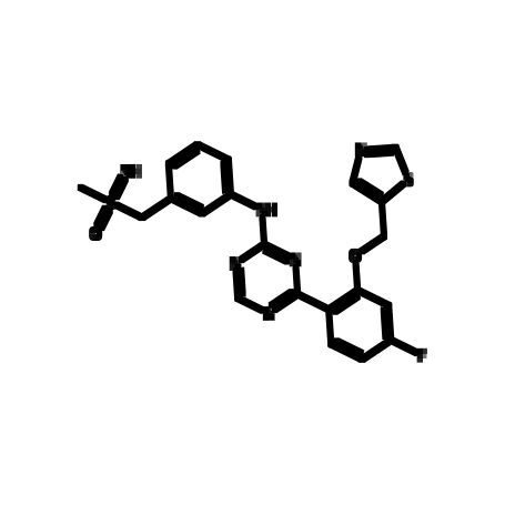 CS(=N)(=O)Cc1cccc(Nc2ncnc(-c3ccc(F)cc3OCc3cncs3)n2)c1